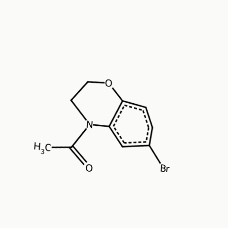 CC(=O)N1CCOc2ccc(Br)cc21